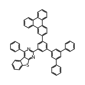 c1ccc(-c2cc(-c3ccccc3)cc(-c3cc(-c4ccc5c6ccccc6c6ccccc6c5c4)cc(-c4nc(-c5ccccc5)c5c(n4)sc4ccccc45)c3)c2)cc1